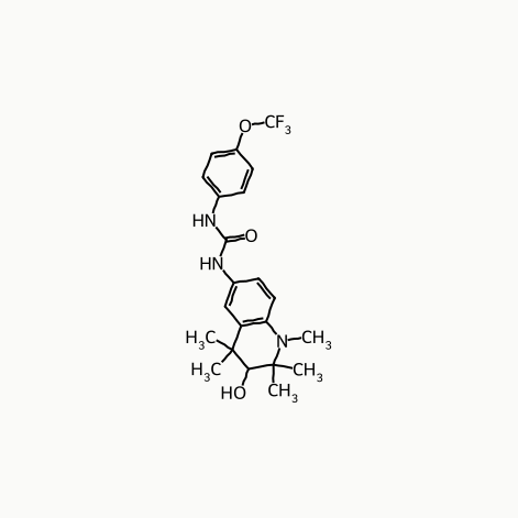 CN1c2ccc(NC(=O)Nc3ccc(OC(F)(F)F)cc3)cc2C(C)(C)C(O)C1(C)C